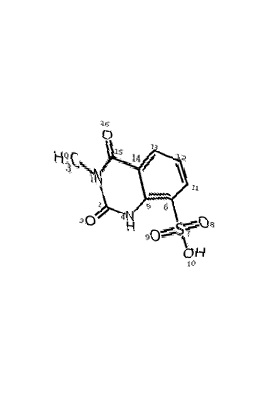 Cn1c(=O)[nH]c2c(S(=O)(=O)O)cccc2c1=O